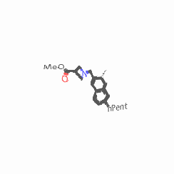 CCCCCc1ccc2c(c1)C[C@@H](C)C(CN1CC(C(=O)OC)C1)=C2